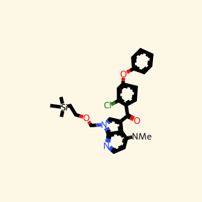 CNc1ccnc2c1c(C(=O)c1ccc(Oc3ccccc3)cc1Cl)cn2COCC[Si](C)(C)C